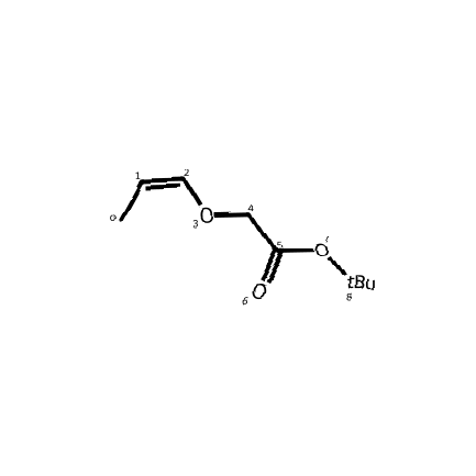 C/C=C\OCC(=O)OC(C)(C)C